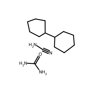 C1CCC(C2CCCCC2)CC1.N#CN.NC(N)=O